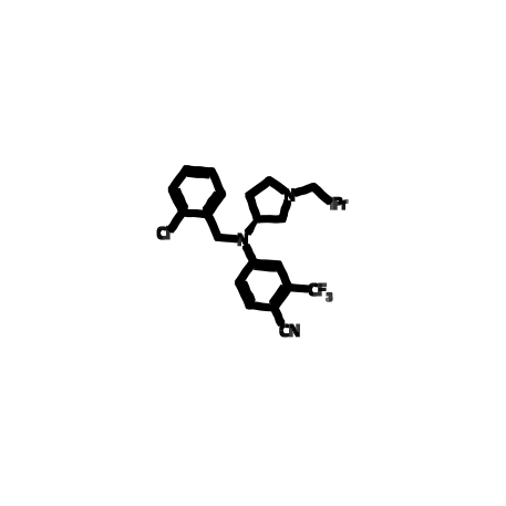 CC(C)CN1CC[C@H](N(Cc2ccccc2Cl)c2ccc(C#N)c(C(F)(F)F)c2)C1